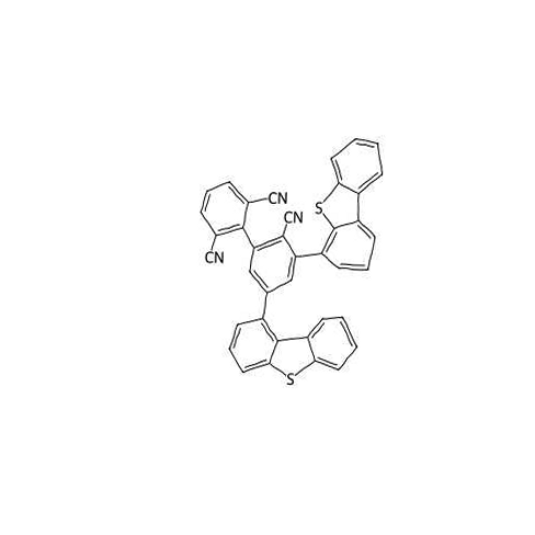 N#Cc1cccc(C#N)c1-c1cc(-c2cccc3sc4ccccc4c23)cc(-c2cccc3c2sc2ccccc23)c1C#N